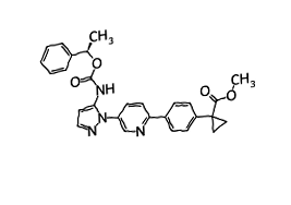 COC(=O)C1(c2ccc(-c3ccc(-n4nccc4NC(=O)O[C@H](C)c4ccccc4)cn3)cc2)CC1